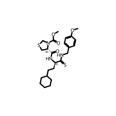 COC(=O)N1CSC[C@H]1C(=O)N[C@H](CCC1CCCCC1)C(=S)NCc1ccc(OC)cc1